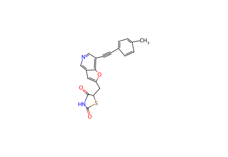 Cc1ccc(C#Cc2cncc3cc(CC4SC(=O)NC4=O)oc23)cc1